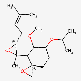 COC1C(OC(C)C)CC[C@]2(CO2)C1C1(C)O[C@@H]1CC=C(C)C